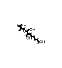 CC(C)=C(C)C(=O)OC(CO)C(CO)CCCCCCO